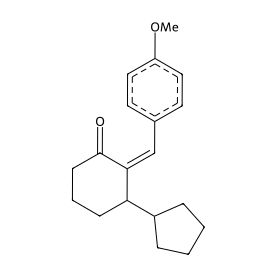 COc1ccc(/C=C2\C(=O)CCCC2C2CCCC2)cc1